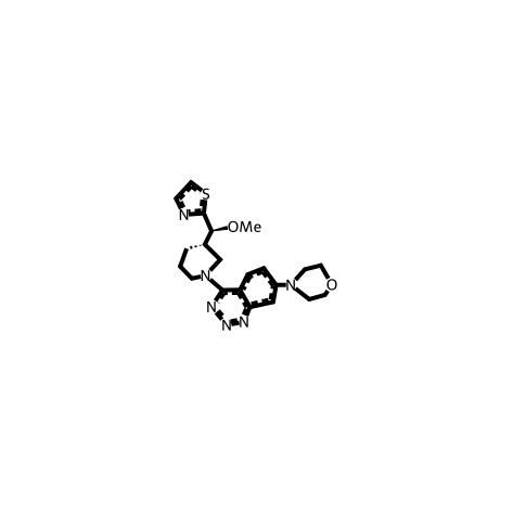 CO[C@H](c1nccs1)[C@H]1CCCN(c2nnnc3cc(N4CCOCC4)ccc23)C1